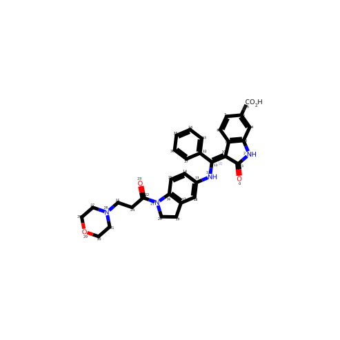 O=C1Nc2cc(C(=O)O)ccc2/C1=C(/Nc1ccc2c(c1)CCN2C(=O)CCN1CCOCC1)c1ccccc1